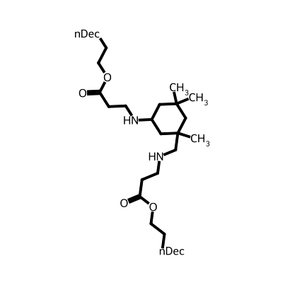 CCCCCCCCCCCCOC(=O)CCNCC1(C)CC(NCCC(=O)OCCCCCCCCCCCC)CC(C)(C)C1